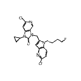 O=c1n(Cc2cc3nc(Cl)ccc3n2CCCCF)c2cnc(Cl)cc2n1C1CC1